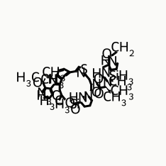 C=CC(=O)N1CC[C@]2([SiH3])[C@@H]1CN2C(=O)N(C)[C@H](C(=O)N[C@H]1Cc2nc(cs2)-c2ccc3c(c2)c(c(-c2cccnc2[C@H](C)OC)n3CC)CC(C)(C)COC(=O)[C@@]2([SiH3])CCCN(N2)C1=O)C(C)C